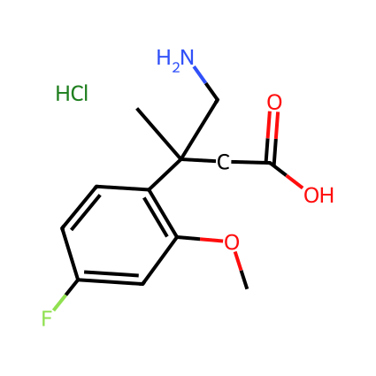 COc1cc(F)ccc1C(C)(CN)CC(=O)O.Cl